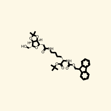 CC(C)(C)OC(=O)[C@H](CCCCNC(=O)C[C@@H]1O[C@H](CO)[C@H]2OC(C)(C)O[C@H]21)NC(=O)OCC1c2ccccc2-c2ccccc21